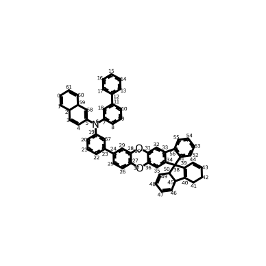 C1=CC2C=CC(N(c3cccc(-c4ccccc4)c3)c3cccc(-c4ccc5c(c4)Oc4cc6c(cc4O5)C4(C5=C(CCC=C5)C5C=CC=CC54)c4ccccc4-6)c3)=CC2C=C1